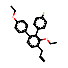 C=CCc1c[c]c(-c2ccc(OCC)cc2)c(-c2ccc(F)cc2)c1OCC